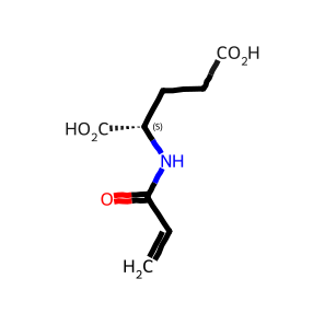 C=CC(=O)N[C@@H](CCC(=O)O)C(=O)O